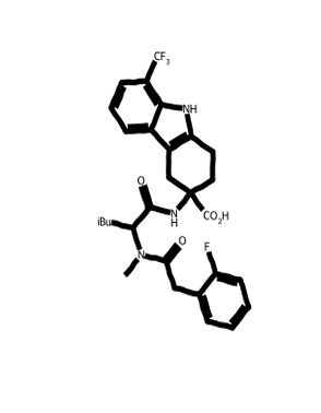 CCC(C)C(C(=O)NC1(C(=O)O)CCc2[nH]c3c(C(F)(F)F)cccc3c2C1)N(C)C(=O)Cc1ccccc1F